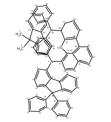 CC1(C)C2=CC(N(c3cccc4c3-c3ccccc3C4(c3ccccc3)c3ccccc3)c3ccc4cccc5c4c3OC3=C5C=CCC3N(c3ccccc3)c3ccccc3)=C=C2c2ccccc21